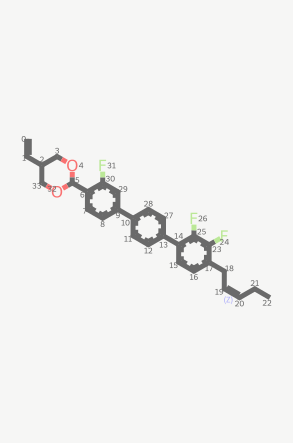 C=CC1COC(c2ccc(-c3ccc(-c4ccc(C/C=C\CC)c(F)c4F)cc3)cc2F)OC1